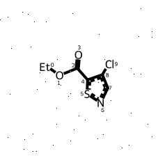 CCOC(=O)c1sn[c]c1Cl